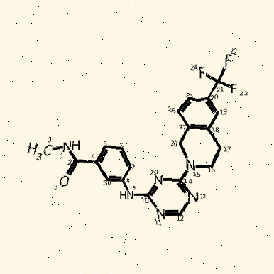 CNC(=O)c1cccc(Nc2ncnc(N3CCc4cc(C(F)(F)F)ccc4C3)n2)c1